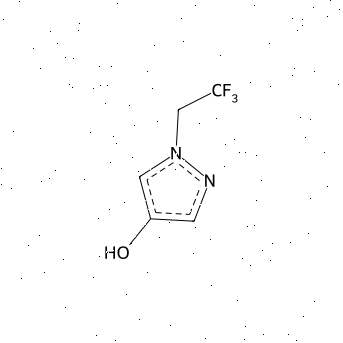 Oc1cnn(CC(F)(F)F)c1